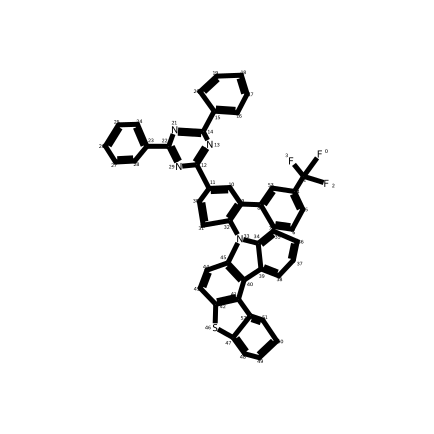 FC(F)(F)c1cccc(-c2cc(-c3nc(-c4ccccc4)nc(-c4ccccc4)n3)ccc2-n2c3ccccc3c3c4c(ccc32)sc2ccccc24)c1